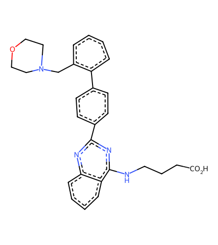 O=C(O)CCCNc1nc(-c2ccc(-c3ccccc3CN3CCOCC3)cc2)nc2ccccc12